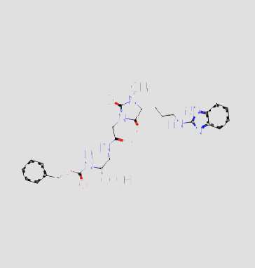 CN1C(=O)N(CC(=O)NC[C@H](NC(=O)OCc2ccccc2)C(=O)O)C(=O)[C@H]1CCCNc1nc2ccccc2[nH]1